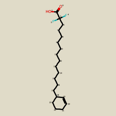 O=C(O)C(F)(F)CCCCCCCCCCCCC1C=CCCC1